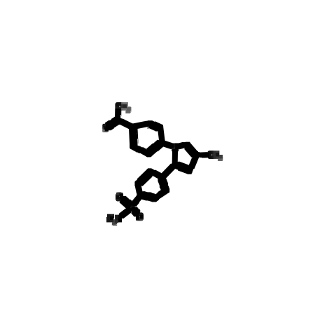 CC(=S)c1ccc(-n2cc(C)cc2-c2ccc(S(N)(=O)=O)cc2)cc1